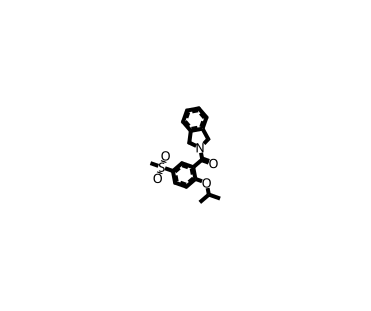 CC(C)Oc1ccc(S(C)(=O)=O)cc1C(=O)N1Cc2ccccc2C1